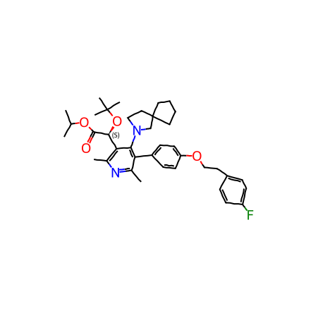 Cc1nc(C)c([C@H](OC(C)(C)C)C(=O)OC(C)C)c(N2CCC3(CCCC3)C2)c1-c1ccc(OCCc2ccc(F)cc2)cc1